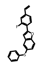 C=Cc1ccc(-c2cc3cc(Sc4ccccc4)ccc3o2)c(F)c1